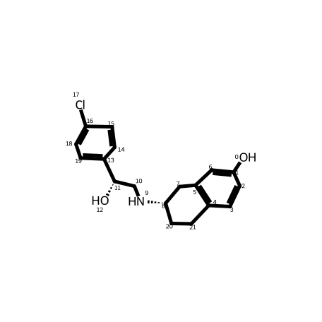 Oc1ccc2c(c1)C[C@@H](NC[C@H](O)c1ccc(Cl)cc1)CC2